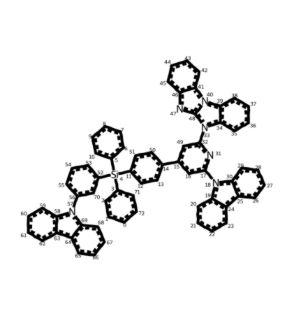 c1ccc([Si](c2ccccc2)(c2ccc(-c3cc(-n4c5ccccc5c5ccccc54)nc(-n4c5ccccc5n5c6ccccc6nc45)c3)cc2)c2cccc(-n3c4ccccc4c4ccccc43)c2)cc1